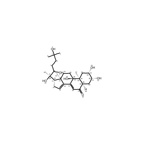 CC(C)(O)CCC(O)[C@](C)(O)[C@H]1CC=C2C3=CC(=O)[C@@H]4C[C@@H](O)[C@@H](O)C[C@]4(C)[C@@]3(O)CC[C@@]21C